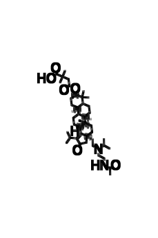 CC(=O)NCCN(CC[C@@]12CC[C@]3(C)[C@H](CCC4[C@@]5(C)CC[C@H](OC(=O)CC(C)(C)C(=O)O)C(C)(C)C5CC[C@]43C)C1=C(C(C)C)C(=O)C2)C(C)C